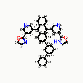 C1=COC(c2cncc(-c3c4ccccc4c(-c4cncc(-c5ncco5)c4)c4ccc(-c5cccc(-c6ccccc6)c5)cc34)c2)N1